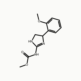 COC(=O)NC1=NC(c2ccccc2OC)CN1